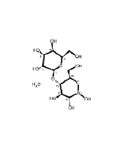 O.OC[C@H]1O[C@@H](O[C@H]2[C@H](O)[C@@H](O)[Au]([OH])[O][C@@H]2CO)[C@H](O)[C@@H](O)[C@H]1O